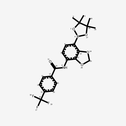 CC1(C)OB(c2ccc(NC(=O)c3ccc(C(F)(F)F)cc3)c3c2OCO3)OC1(C)C